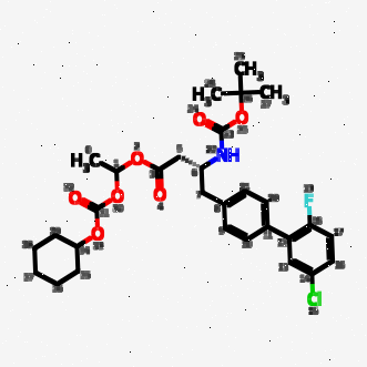 CC(OC(=O)C[C@@H](Cc1ccc(-c2cc(Cl)ccc2F)cc1)NC(=O)OC(C)(C)C)OC(=O)OC1CCCCC1